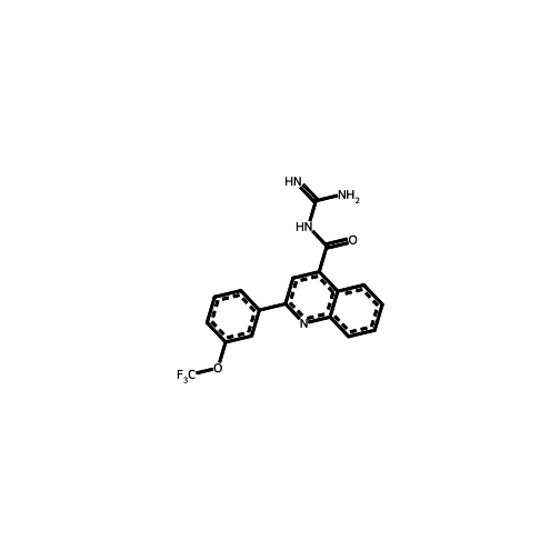 N=C(N)NC(=O)c1cc(-c2cccc(OC(F)(F)F)c2)nc2ccccc12